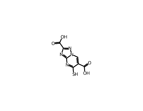 O=C(O)c1nc2nc(S)c(C(=O)O)cn2n1